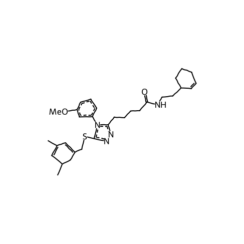 COc1cccc(-n2c(CCCCC(=O)NCCC3C=CCCC3)nnc2SCC2=CC(C)=CC(C)C2)c1